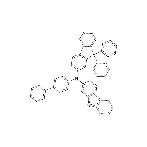 c1ccc(-c2ccc(N(c3ccc4c(c3)C(c3ccccc3)(c3ccccc3)c3ccccc3-4)c3ccc4c(c3)sc3ccccc34)cc2)cc1